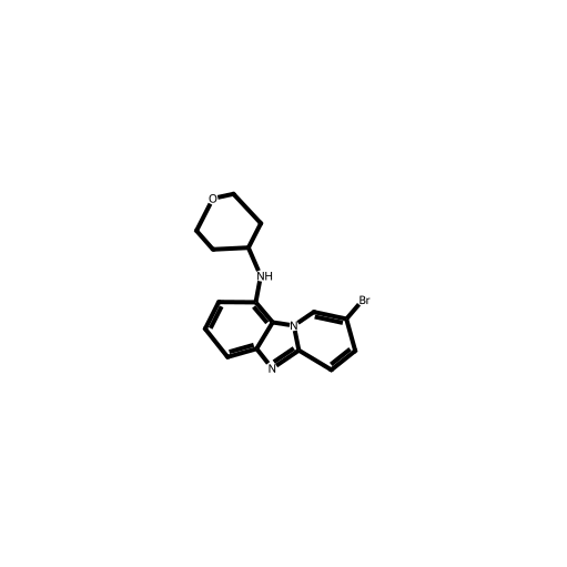 Brc1ccc2nc3cccc(NC4CCOCC4)c3n2c1